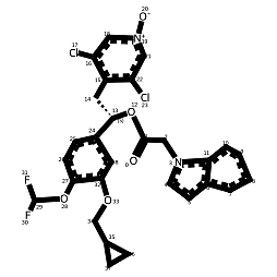 O=C(Cn1ccc2ccccc21)O[C@@H](Cc1c(Cl)c[n+]([O-])cc1Cl)c1ccc(OC(F)F)c(OCC2CC2)c1